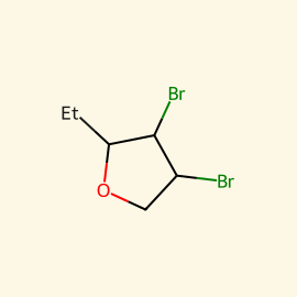 CCC1OCC(Br)C1Br